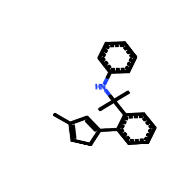 CC1=CCC(c2ccccc2C(C)(C)Nc2ccccc2)=C1